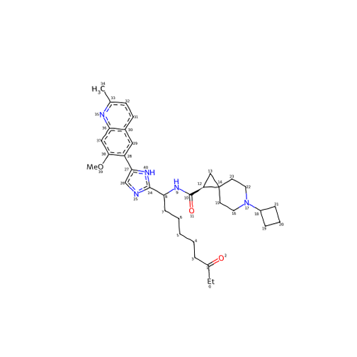 CCC(=O)CCCCCC(NC(=O)[C@H]1CC12CCN(C1CCC1)CC2)c1ncc(-c2cc3ccc(C)nc3cc2OC)[nH]1